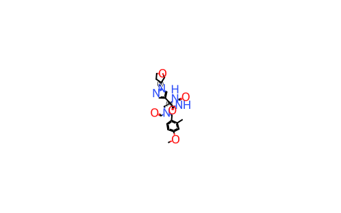 COc1ccc(CN(C=O)C[C@@]2(c3cnn([C@H]4CCOC4)c3)NC(=O)NC2=O)c(C)c1